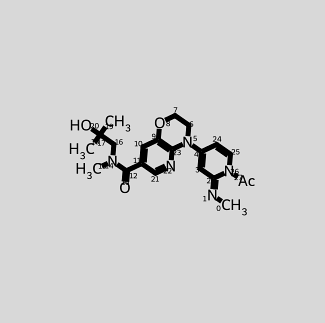 C/N=c1/cc(N2CCOc3cc(C(=O)N(C)CC(C)(C)O)cnc32)ccn1C(C)=O